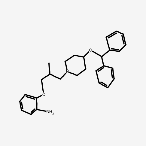 CC(COc1ccccc1N)CN1CCC(OC(c2ccccc2)c2ccccc2)CC1